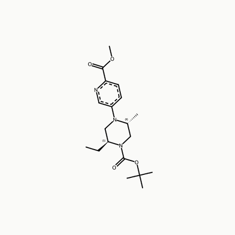 CC[C@H]1CN(c2ccc(C(=O)OC)nc2)[C@H](C)CN1C(=O)OC(C)(C)C